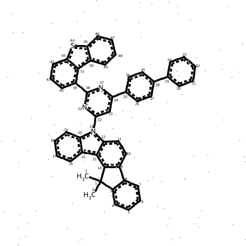 CC1(C)c2ccccc2-c2ccc3c(c21)c1ccccc1n3-c1cc(-c2ccc(-c3ccccc3)cc2)nc(-c2cccc3sc4ccccc4c23)n1